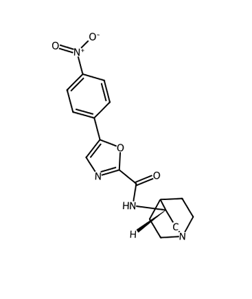 O=C(N[C@H]1CN2CCC1CC2)c1ncc(-c2ccc([N+](=O)[O-])cc2)o1